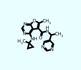 Cc1oc2ncnc(NC3(C)CC3)c2c1C(=O)NC(C)c1cncnc1